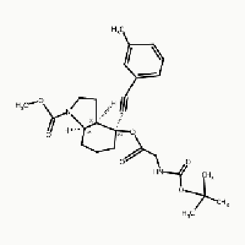 COC(=O)N1CC[C@@H]2[C@H]1CCC[C@]2(C#Cc1cccc(C)c1)OC(=O)CNC(=O)OC(C)(C)C